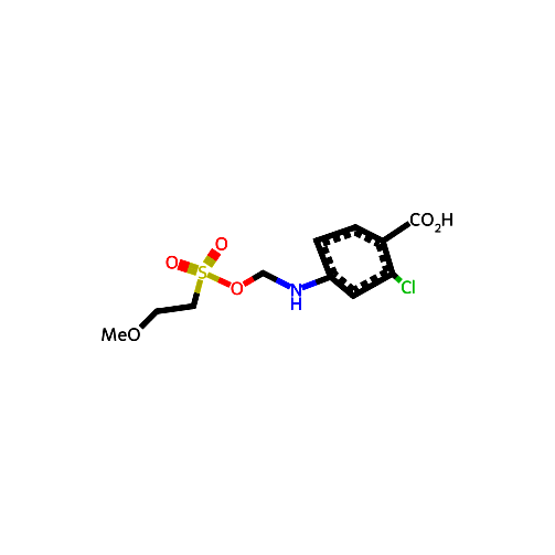 COCCS(=O)(=O)OCNc1ccc(C(=O)O)c(Cl)c1